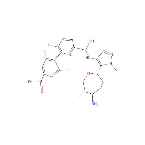 CCC(=O)c1cc(F)c(-c2nc(C(O)Nc3cnn(C)c3[C@@H]3CC[C@@H](N)[C@H](F)CO3)ccc2F)c(F)c1